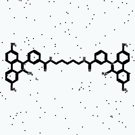 Cc1c2cc(N)ccc2c2ccc(N)cc2[n+]1-c1cccc(C(=O)NCCCCCNC(=O)c2cccc(-c3c4cc(N)ccc4c4ccc(N)cc4[n+]3C)c2)c1